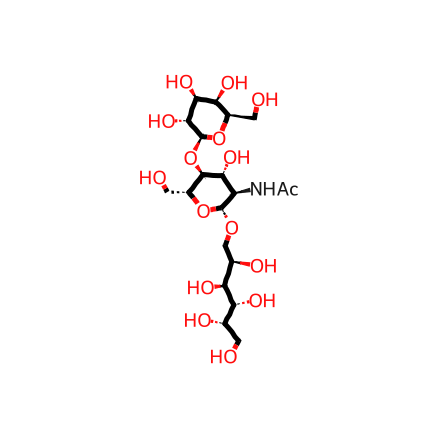 CC(=O)N[C@H]1[C@H](OC[C@@H](O)[C@H](O)[C@H](O)[C@@H](O)CO)O[C@H](CO)[C@@H](O[C@@H]2O[C@H](CO)[C@H](O)[C@H](O)[C@H]2O)[C@@H]1O